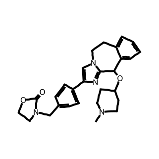 CN1CCC(OC2c3ccccc3CCn3cc(-c4ccc(CN5CCOC5=O)cc4)nc32)CC1